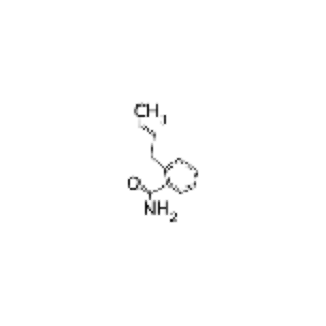 CC=CCc1ccccc1C(N)=O